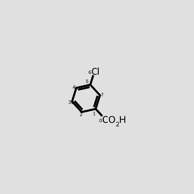 O=C(O)c1c[c]cc(Cl)c1